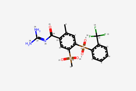 Cc1cc(S(=O)(=O)c2ccccc2C(F)(F)F)c(S(C)(=O)=O)cc1C(=O)N=C(N)N